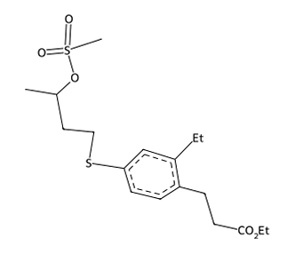 CCOC(=O)CCc1ccc(SCCC(C)OS(C)(=O)=O)cc1CC